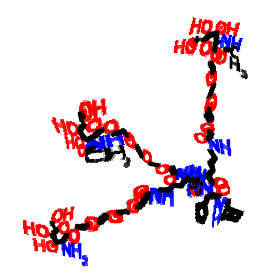 CC(=O)N[C@H]1[C@H](OCCOCCOCCOCC(=O)NCCCCC(NC(=O)C(CCCCNC(=O)COCCOCCOCCO[C@@H]2O[C@H](CO)[C@H](O)[C@H](O)[C@H]2N)NC(=O)COCCOCCOCCO[C@@H]2O[C@H](CO)[C@H](O)[C@H](O)[C@H]2NC(C)=O)C(=O)NC(C(=O)NCC2CC3CCC32)C2CCCC2)O[C@H](CO)[C@H](O)[C@@H]1O